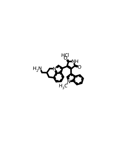 Cl.Cn1cc(C2=C(c3cn4c5c(cccc35)CC(CN)C4)C(=O)NC2=O)c2ccccc21